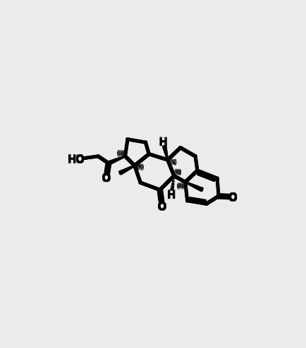 C[C@]12C=CC(=O)C=C1CC[C@H]1C3CC[C@H](C(=O)CO)[C@@]3(C)CC(=O)[C@@H]12